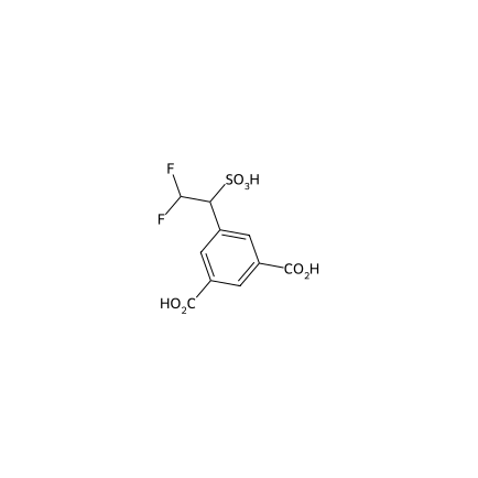 O=C(O)c1cc(C(=O)O)cc(C(C(F)F)S(=O)(=O)O)c1